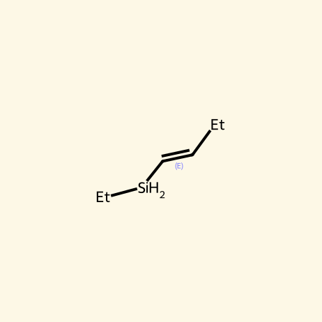 CC/C=C/[SiH2]CC